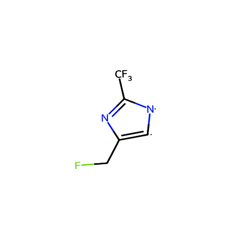 FCC1=[C][N]C(C(F)(F)F)=N1